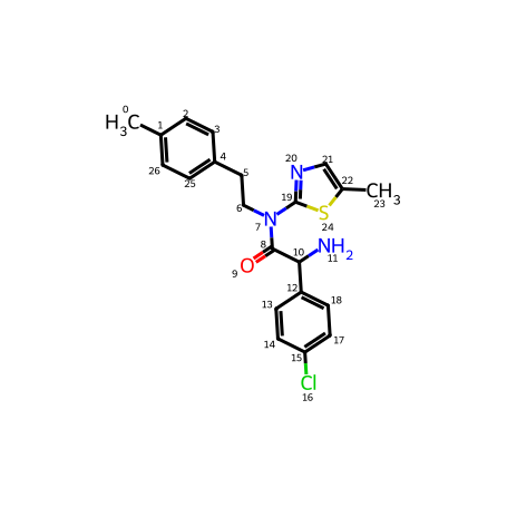 Cc1ccc(CCN(C(=O)C(N)c2ccc(Cl)cc2)c2ncc(C)s2)cc1